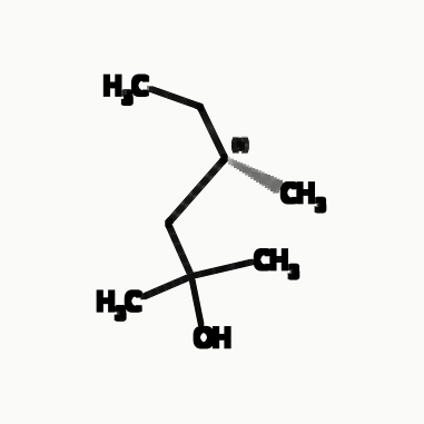 CC[C@H](C)CC(C)(C)O